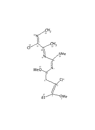 CC/C(OC)=C(/Cl)CC(N=C(/N=C(C)/C(Cl)=N\C)SC)OC